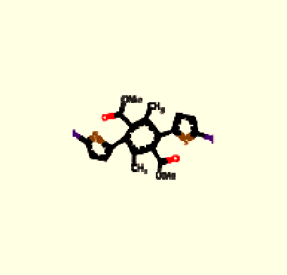 COC(=O)c1c(C)c(-c2ccc(I)s2)c(C(=O)OC)c(C)c1-c1ccc(I)s1